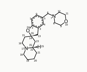 c1cc2c(cc1CN1CCOCC1)C[C@@]1(CCN3CCCC[C@H]3C1)O2